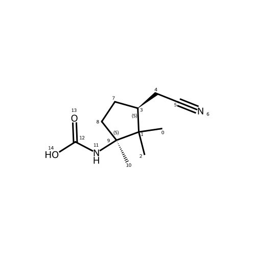 CC1(C)[C@H](CC#N)CC[C@]1(C)NC(=O)O